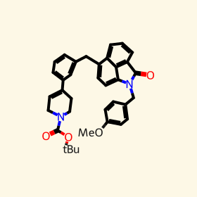 COc1ccc(CN2C(=O)c3cccc4c(Cc5cccc(C6=CCN(C(=O)OC(C)(C)C)CC6)c5)ccc2c34)cc1